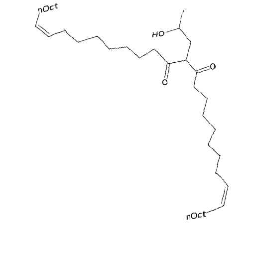 [CH2]C(O)CC(C(=O)CCCCCCC/C=C\CCCCCCCC)C(=O)CCCCCCC/C=C\CCCCCCCC